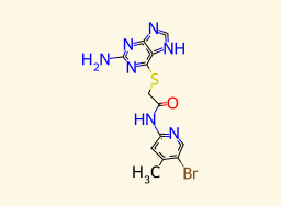 Cc1cc(NC(=O)CSc2nc(N)nc3nc[nH]c23)ncc1Br